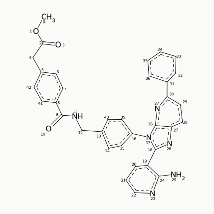 COC(=O)Cc1ccc(C(=O)NCc2ccc(-n3c(-c4cccnc4N)nc4ccc(-c5ccccc5)nc43)cc2)cc1